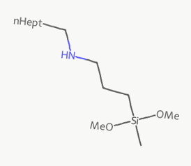 CCCCCCCCNCCC[Si](C)(OC)OC